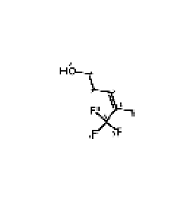 CC(=CCCO)C(F)(F)F